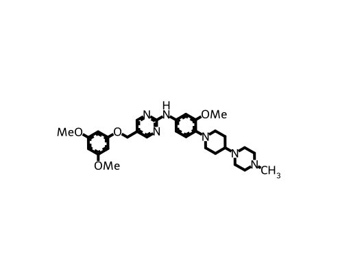 COc1cc(OC)cc(OCc2cnc(Nc3ccc(N4CCC(N5CCN(C)CC5)CC4)c(OC)c3)nc2)c1